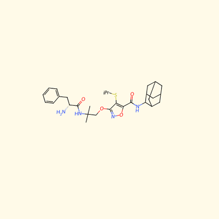 CC(C)Sc1c(OCC(C)(C)NC(=O)[C@H](N)Cc2ccccc2)noc1C(=O)NC1C2CC3CC(C2)CC1C3